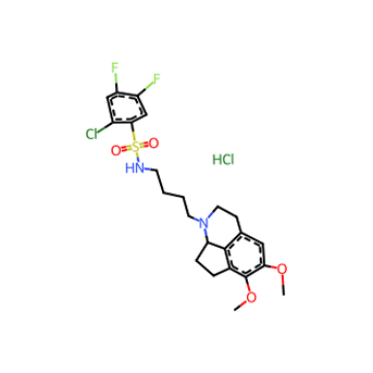 COc1cc2c3c(c1OC)CCC3N(CCCCNS(=O)(=O)c1cc(F)c(F)cc1Cl)CC2.Cl